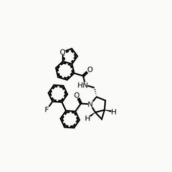 O=C(NC[C@@H]1C[C@@H]2C[C@@H]2N1C(=O)c1ccccc1-c1ccccc1F)c1cccc2occc12